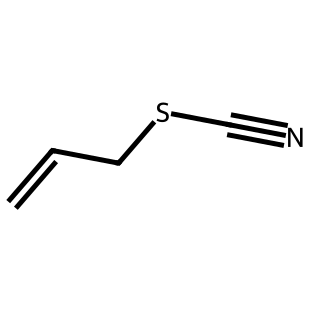 C=CCSC#N